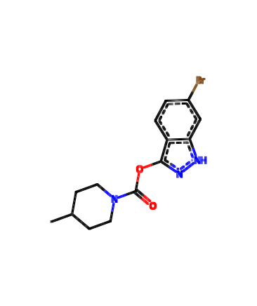 CC1CCN(C(=O)Oc2n[nH]c3cc(Br)ccc23)CC1